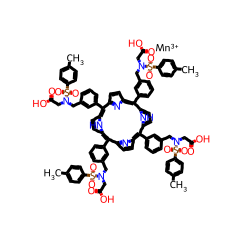 Cc1ccc(S(=O)(=O)N(CC(=O)O)Cc2cccc(-c3c4nc(c(-c5cccc(CN(CC(=O)O)S(=O)(=O)c6ccc(C)cc6)c5)c5ccc([nH]5)c(-c5cccc(CN(CC(=O)O)S(=O)(=O)c6ccc(C)cc6)c5)c5nc(c(-c6cccc(CN(CC(=O)O)S(=O)(=O)c7ccc(C)cc7)c6)c6ccc3[nH]6)C=C5)C=C4)c2)cc1.[Mn+3]